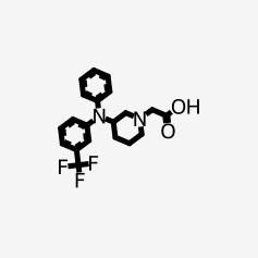 O=C(O)CN1CCCC(N(c2ccccc2)c2cccc(C(F)(F)F)c2)C1